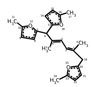 C/C(=C\C=C(/C)C(c1ccc(C)o1)c1ccc(C)o1)Cc1ccc(C)o1